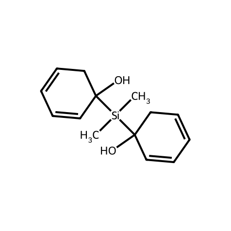 C[Si](C)(C1(O)C=CC=CC1)C1(O)C=CC=CC1